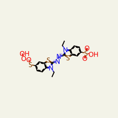 CCn1/c(=N/N=c2\sc3cc(S(=O)(=O)O)ccc3n2CC)sc2cc(SOOO)ccc21